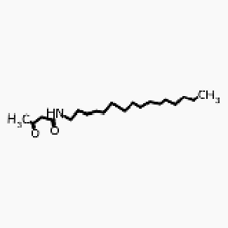 CCCCCCCCCCCCCCCCNC(=O)CC(C)=O